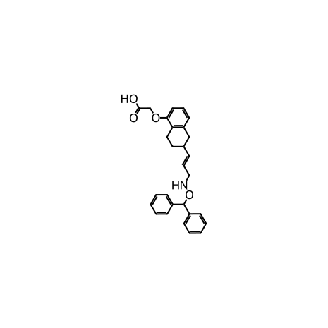 O=C(O)COc1cccc2c1CCC(C=CCNOC(c1ccccc1)c1ccccc1)C2